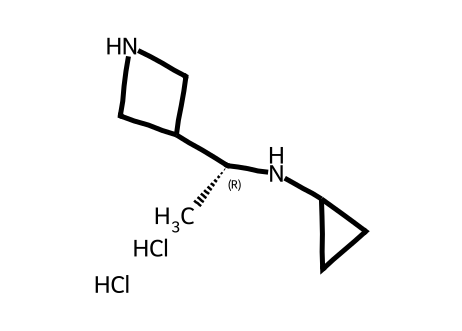 C[C@@H](NC1CC1)C1CNC1.Cl.Cl